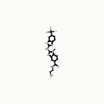 Cn1c(Nc2nc3ccc(C(F)(F)F)cc3s2)nc2cc(C(=O)NCCO)ccc21